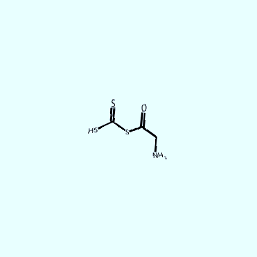 NCC(=O)SC(=S)S